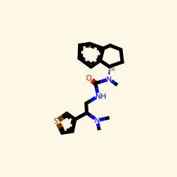 CN(C)C(CNC(=O)N(C)[C@H]1CCCc2ccccc21)c1ccsc1